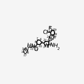 Nc1ncc(-c2cccc(C(=O)NCCN3CCCC3)c2)cc1OCc1c(F)ccc(F)c1Cl